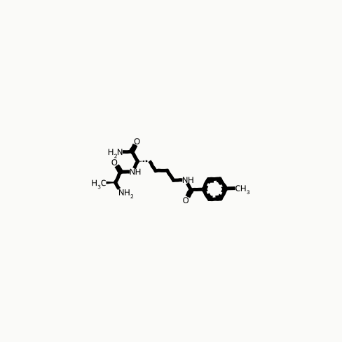 Cc1ccc(C(=O)NCCCC[C@H](NC(=O)[C@H](C)N)C(N)=O)cc1